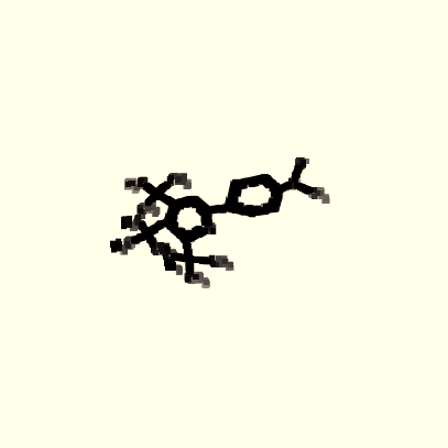 C[S+]([O-])c1ccc(-c2cc(C(C)(C)C)c(C(C)(C)C)c(C(C)(C)C)n2)cc1